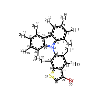 [2H]c1c(-n2c3c([2H])c([2H])c([2H])c([2H])c3c3c([2H])c([2H])c([2H])c([2H])c32)c([2H])c2scc(Br)c2c1[2H]